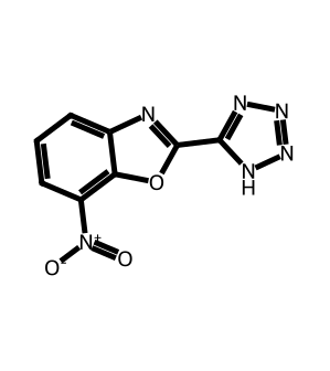 O=[N+]([O-])c1cccc2nc(-c3nnn[nH]3)oc12